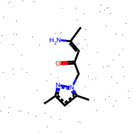 C/C(N)=C/C(=O)Cn1nc(C)cc1C